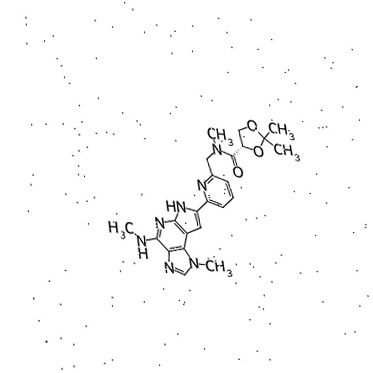 CNc1nc2[nH]c(-c3cccc(CN(C)C(=O)[C@@H]4COC(C)(C)O4)n3)cc2c2c1ncn2C